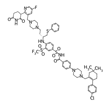 CC1(C)CCC(c2ccc(Cl)cc2)=C(CN2CCN(c3ccc(C(=O)NS(=O)(=O)c4ccc(N[C@H](CCN5CCN(Cc6cc(F)cnc6C6CCC(=O)NC6=O)CC5)CSc5ccccc5)c(S(=O)(=O)C(F)(F)F)c4)cc3)CC2)C1